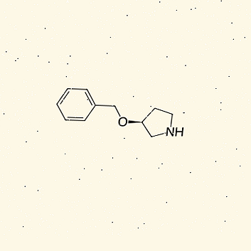 c1ccc(CO[C@H]2CCNC2)cc1